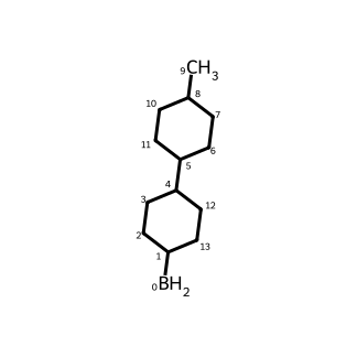 BC1CCC(C2CCC(C)CC2)CC1